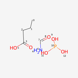 CCCC(=O)O.NC=O.OP(O)O